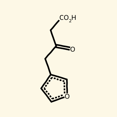 O=C(O)CC(=O)Cc1ccoc1